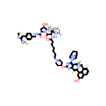 C#Cc1c(F)ccc2cc(O)cc(-c3ncc4c(N5CC6CCC(C5)N6)nc(OC5CCN(CCCCCCC(=O)NC(C(=O)N6C[C@H](O)C[C@H]6C(=O)NCc6ccc(-c7scnc7C)cc6)C(C)(C)C)CC5)nc4c3F)c12